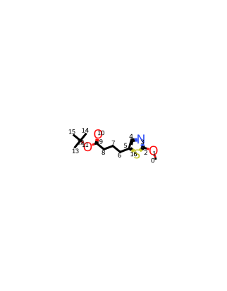 COc1ncc(CCCC(=O)OC(C)(C)C)s1